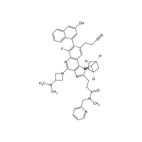 CN(Cc1ccccn1)C(=O)CCc1nc2c(N3CC(N(C)C)C3)nc3c(F)c(-c4cc(O)cc5ccccc45)c(CCC#N)cc3c2n1[C@H]1[C@H]2CN[C@@H]1C2